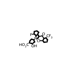 O=C(O)c1ccc(-n2cc(C(=O)c3c(Cl)cccc3C(F)(F)F)c3cccc(F)c32)cc1O